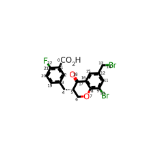 O=C(O)c1cc(C[C@H]2COc3c(Br)cc(CBr)cc3C2=O)ccc1F